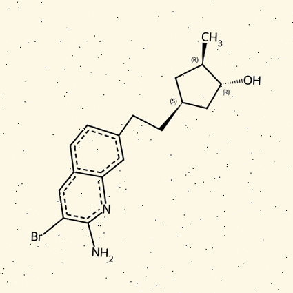 C[C@@H]1C[C@H](CCc2ccc3cc(Br)c(N)nc3c2)C[C@H]1O